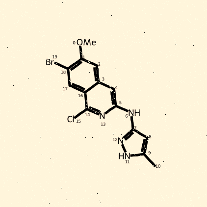 COc1cc2cc(Nc3cc(C)[nH]n3)nc(Cl)c2cc1Br